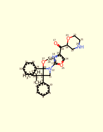 CC(C)(C)C1(c2ccccc2)CN(c2nc(C(=O)C3CNCCO3)co2)C1(O[SiH3])c1ccccc1